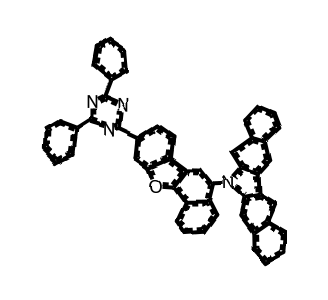 c1ccc(-c2nc(-c3ccccc3)nc(-c3ccc4c(c3)oc3c5ccccc5c(-n5c6cc7ccccc7cc6c6cc7ccccc7cc65)cc43)n2)cc1